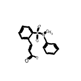 CN(c1ccccc1)S(=O)(=O)c1ccccc1/C=C/C(=O)Cl